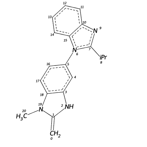 C=C1Nc2cc(-n3c(C(C)C)nc4ccccc43)ccc2N1C